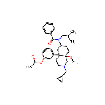 COC12CCC(N(CC(C)C)C(=O)c3ccccc3)CC1(c1cccc(OC(C)=O)c1)CCN(CC1CC1)C2